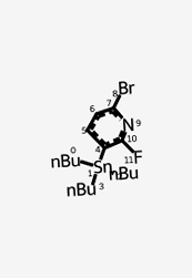 CCC[CH2][Sn]([CH2]CCC)([CH2]CCC)[c]1ccc(Br)nc1F